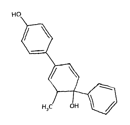 CC1C=C(c2ccc(O)cc2)C=CC1(O)c1ccccc1